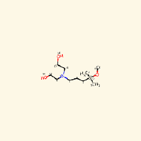 CCO[Si](C)(C)CCCN(CCO)CCO